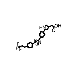 O=C(O)CC1CNC(c2ccc(-c3noc(-c4ccc(CCC(F)(F)F)cc4)n3)cc2)C1